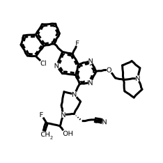 C=C(F)C(O)N1CCN(c2nc(OCC34CCCN3CCC4)nc3c(F)c(-c4cccc5cccc(Cl)c45)ncc23)C[C@@H]1CC#N